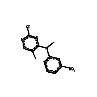 Cc1cnc(Cl)nc1N(C)c1cccc([N+](=O)[O-])c1